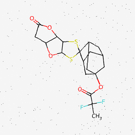 CC(F)(F)C(=O)OC12CC3CC(C1)C1(SC4OC5CC(=O)OC5C4S1)C(C3)C2